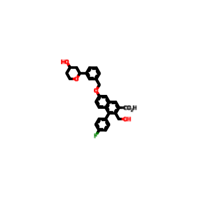 O=C(O)c1cc2cc(OCc3cccc(C4CC(O)CCO4)c3)ccc2c(-c2ccc(F)cc2)c1CO